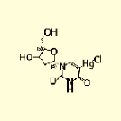 O=c1[nH]c(=O)n([C@@H]2CC(O)[C@H](CO)O2)c[c]1[Hg][Cl]